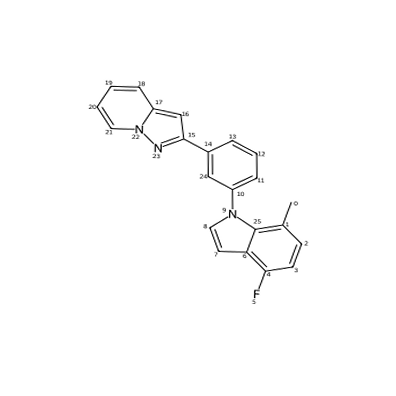 Cc1ccc(F)c2ccn(-c3cccc(-c4cc5ccccn5n4)c3)c12